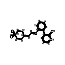 O=c1occcc1-c1ccccc1OCCN1CCS(=O)(=O)CC1